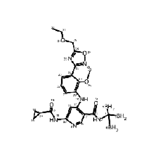 BC(B)(B)NC(=O)c1cnc(NC(=O)C2CC2)cc1Nc1cccc(-c2noc(COCC)n2)c1OC